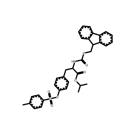 Cc1ccc(S(=O)(=O)Oc2ccc(CC(NC(=O)OCC3c4ccccc4-c4ccccc43)C(=O)OC(C)C)cc2)cc1